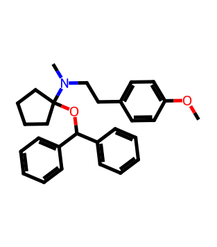 COc1ccc(CCN(C)C2(OC(c3ccccc3)c3ccccc3)CCCC2)cc1